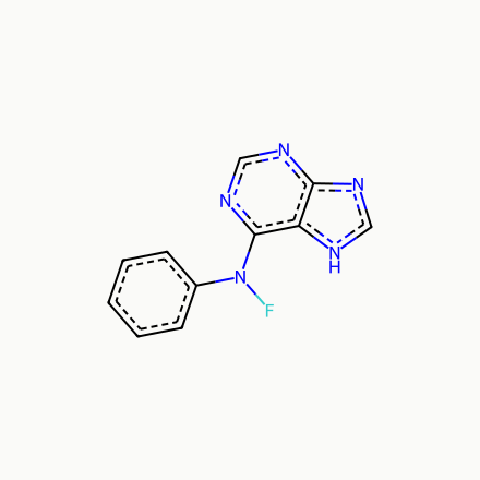 FN(c1ccccc1)c1ncnc2nc[nH]c12